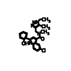 CCn1nnc(CN(C)C(=O)c2cc(-c3ccccc3O)nc3ccc(Cl)cc23)c1C